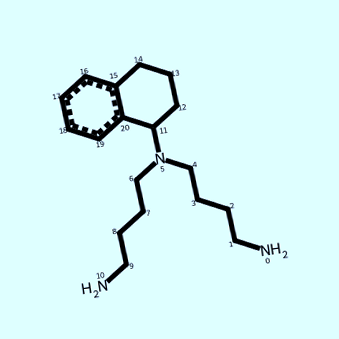 NCCCCN(CCCCN)C1CCCc2ccccc21